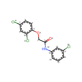 O=C(COc1ccc(Cl)cc1Cl)Nc1cccc(Cl)c1